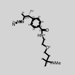 CNC(C)(C)CCOCCNC(=O)c1ccc([C@@H](C)C(C)N=[N+]=[N-])cc1